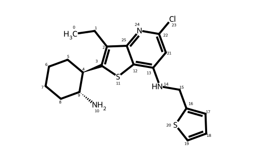 CCc1c([C@@H]2CCCC[C@H]2N)sc2c(NCc3cccs3)cc(Cl)nc12